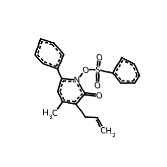 C=CCc1c(C)cc(-c2ccccc2)n(OS(=O)(=O)c2ccccc2)c1=O